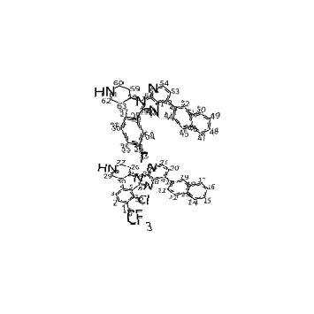 FC(F)(F)c1cccc(-c2nc3c(-c4ccc5ccccc5c4)ccnc3n2C2CCNCC2)c1Cl.Fc1cccc(-c2nc3c(-c4ccc5ccccc5c4)ccnc3n2C2CCNCC2)c1